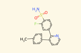 Cc1ccc(-c2cccnc2-c2ccc(S(N)(=O)=O)c(F)c2)cc1